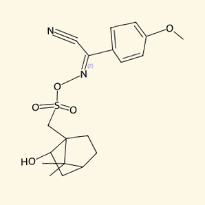 COc1ccc(/C(C#N)=N/OS(=O)(=O)CC23CCC(CC2O)C3(C)C)cc1